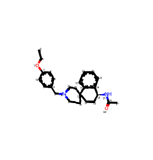 CCOc1ccc(CN2CCC3(CC[C@H](NC(C)=O)c4ccccc43)CC2)cc1